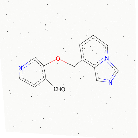 O=Cc1ccncc1OCc1cccn2cncc12